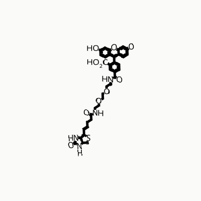 O=C(CCCCC1SCC2NC(=O)NC21)NCCOCCOCCNC(=O)c1ccc(-c2c3ccc(=O)cc-3oc3cc(O)ccc23)c(C(=O)O)c1